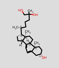 C[C@H](CCCC(C)(O)CO)[C@H]1CC[C@H]2C3=CC=C4C[C@@H](O)CC[C@]4(C)[C@H]3CC[C@]12C